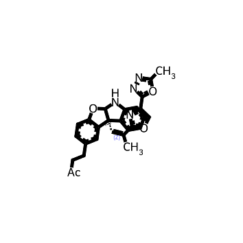 CC(=O)CCc1ccc2c(c1)[C@]1(/C=C(/C)c3nc(-c4nnc(C)o4)co3)c3ccccc3NC1O2